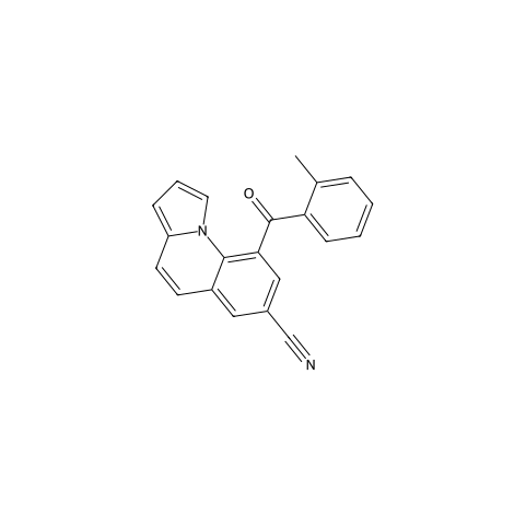 Cc1ccccc1C(=O)c1cc(C#N)cc2ccc3cccn3c12